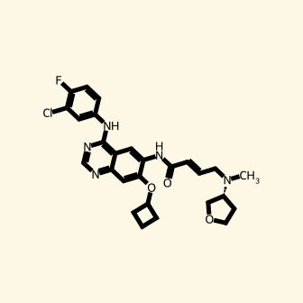 CN(CC=CC(=O)Nc1cc2c(Nc3ccc(F)c(Cl)c3)ncnc2cc1OC1CCC1)[C@@H]1CCOC1